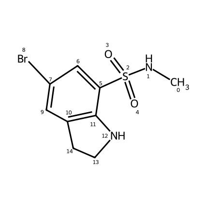 CNS(=O)(=O)c1cc(Br)cc2c1NCC2